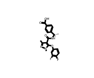 Cc1nn(C)c(Oc2ccc(F)c(F)c2)c1C(=O)N[C@@H](C)c1ccc(C(=O)O)cc1